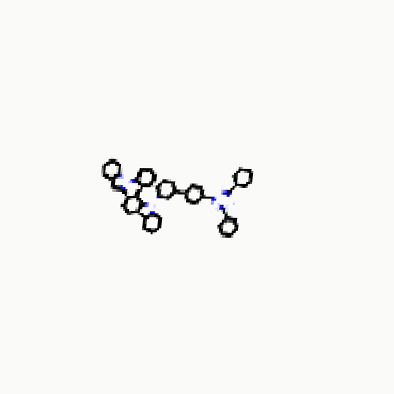 c1ccc(-c2nc(-c3ccccc3)nc(-c3ccc(-c4cccc(-n5c6ccccc6c6ccc7c(c8ccccc8n8c9ccccc9cc78)c65)c4)cc3)n2)cc1